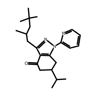 CC(Cc1nn(-c2ccccn2)c2c1C(=O)CC(C(C)C)C2)CC(C)(C)C